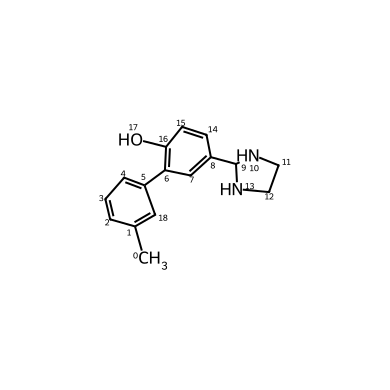 Cc1cccc(-c2cc(C3NCCN3)ccc2O)c1